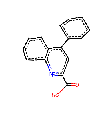 O=C(O)c1cc(-c2ccccc2)c2ccccc2n1